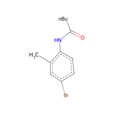 CCCCC(=O)Nc1ccc(Br)cc1C